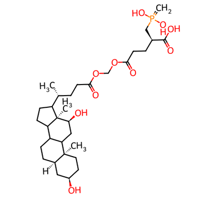 C=P(O)(O)C[C@H](CCC(=O)OCOC(=O)CC[C@@H](C)C1CCC2C3CC[C@@H]4C[C@H](O)CC[C@]4(C)C3C[C@H](O)[C@@]21C)C(=O)O